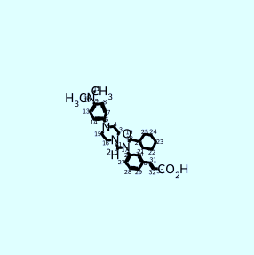 [2H]C(N1CCN(c2ccc(N(C)C)cc2)CC1)N(C(=O)C1CCCCC1)c1cccc(/C=C/C(=O)O)c1